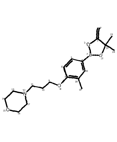 C=C1OB(c2ccc(OCCCN3CCOCC3)c(C)c2)OC1(C)C